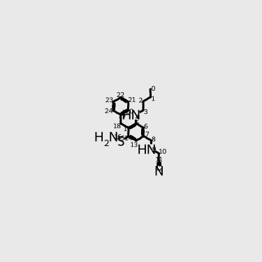 CCCCNc1cc(CNCC#N)cc(SN)c1Cc1ccccc1